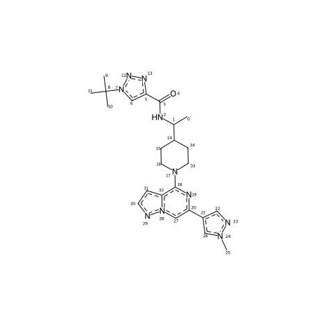 CC(NC(=O)c1cn(C(C)(C)C)nn1)C1CCN(c2nc(-c3cnn(C)c3)cn3nccc23)CC1